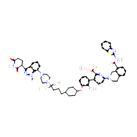 Cc1c(OC2CCC(CCCC(C)(C)N3CCN(c4cccc5c(C6CCC(=O)NC6=O)nn(C)c45)CC3)CC2)cccc1-c1ccc(N2CCc3cccc(C(=O)Nc4nc5ccccc5s4)c3C2)nc1C(=O)OC(C)(C)C